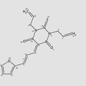 C=CCN1C(=O)C(=C/C=C/c2ccco2)C(=O)N(CC=C)C1=S